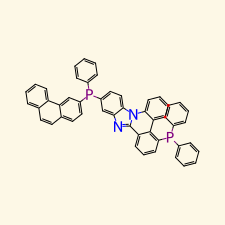 c1ccc(P(c2ccc3c(c2)nc2c4cccc(P(c5ccccc5)c5ccccc5)c4c4ccccc4n32)c2ccc3ccc4ccccc4c3c2)cc1